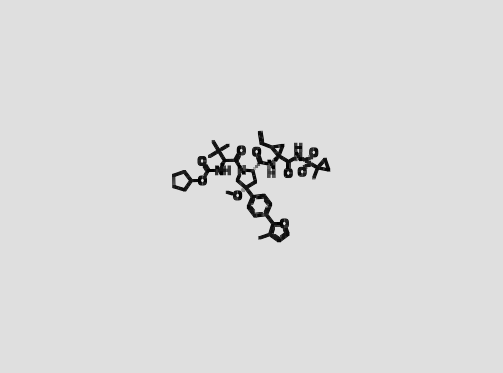 C=CC1C[C@]1(NC(=O)[C@@H]1C[C@@](OC)(c2ccc(-c3occc3C)cc2)CN1C(=O)[C@@H](NC(=O)OC1CCCC1)C(C)(C)C)C(=O)NS(=O)(=O)C1(C)CC1